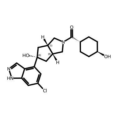 O=C([C@H]1CC[C@H](O)CC1)N1C[C@@H]2C[C@@](O)(c3cc(Cl)cc4[nH]ncc34)C[C@@H]2C1